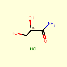 Cl.NC(=O)[C@H](O)CO